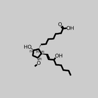 CCCCCC(O)C=C[C@@H]1[C@@H](CCCCCCC(=O)O)[C@@H](O)C[C@H]1OC